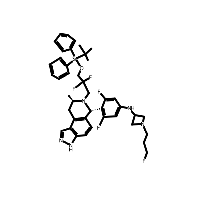 C[C@@H]1Cc2c(ccc3[nH]ncc23)[C@@H](c2c(F)cc(NC3CN(CCCF)C3)cc2F)N1CC(F)(F)CO[Si](c1ccccc1)(c1ccccc1)C(C)(C)C